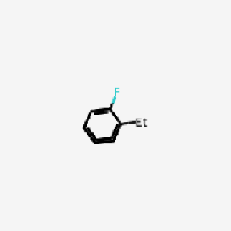 CCC1=C=C=CC=C1F